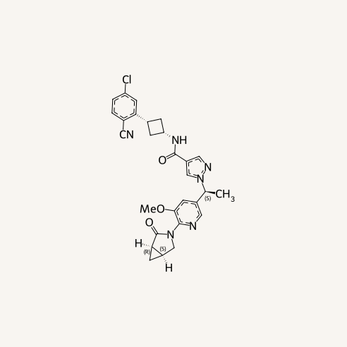 COc1cc([C@H](C)n2cc(C(=O)N[C@H]3C[C@@H](c4cc(Cl)ccc4C#N)C3)cn2)cnc1N1C[C@H]2C[C@H]2C1=O